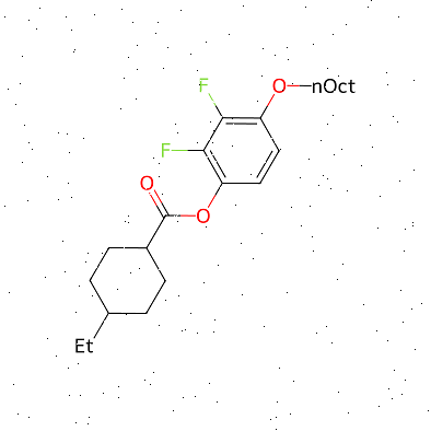 CCCCCCCCOc1ccc(OC(=O)C2CCC(CC)CC2)c(F)c1F